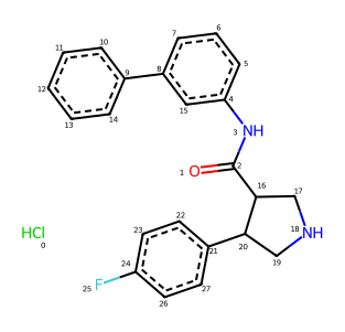 Cl.O=C(Nc1cccc(-c2ccccc2)c1)C1CNCC1c1ccc(F)cc1